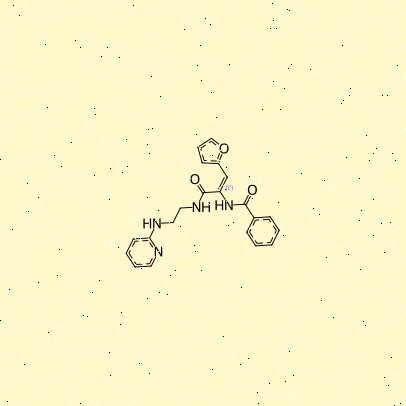 O=C(NCCNc1ccccn1)/C(=C\c1ccco1)NC(=O)c1ccccc1